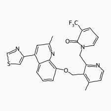 Cc1cc(-c2cscn2)c2cccc(OCc3c(C)ccnc3Cn3cccc(C(F)(F)F)c3=O)c2n1